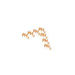 P.P.P.P.P.P.P